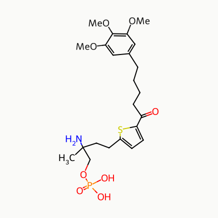 COc1cc(CCCCC(=O)c2ccc(CCC(C)(N)COP(=O)(O)O)s2)cc(OC)c1OC